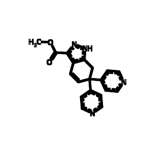 COC(=O)c1n[nH]c2c1C=CC(c1ccncc1)(c1ccncc1)C2